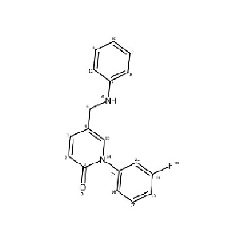 O=c1ccc(CNc2ccccc2)cn1-c1cccc(F)c1